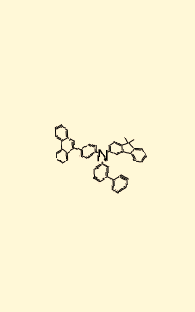 CC1(C)c2ccccc2-c2cc(N(c3ccc(-c4cc5ccccc5c5ccccc45)cc3)c3cccc(-c4ccccc4)c3)ccc21